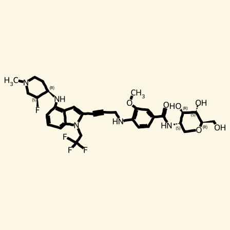 COc1cc(C(=O)N[C@H]2CO[C@H](CO)[C@@H](O)[C@@H]2O)ccc1NCC#Cc1cc2c(N[C@@H]3CCN(C)C[C@@H]3F)cccc2n1CC(F)(F)F